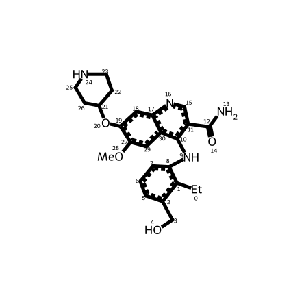 CCc1c(CO)cccc1Nc1c(C(N)=O)cnc2cc(OC3CCNCC3)c(OC)cc12